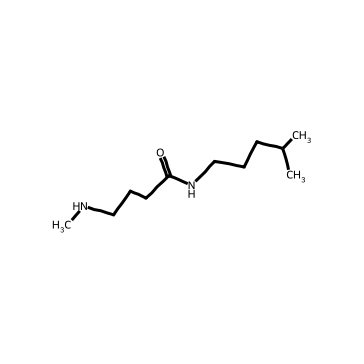 CNCCCC(=O)NCCCC(C)C